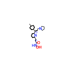 Cc1ccc(/C(=C\CN2CCCC2)c2cccc(/C=C/C(=O)NO)n2)cc1